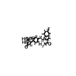 NC(=O)c1cc2cc(F)ccc2n1CCc1ccc(C2=CC(=O)NS2(O)O)cc1